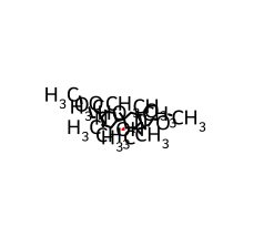 CCOC(=O)CN1C(C)(C)CC(O)(C2(O)CC(C)(C)N(CC(=O)OCC)C(C)(C)C2)CC1(C)C